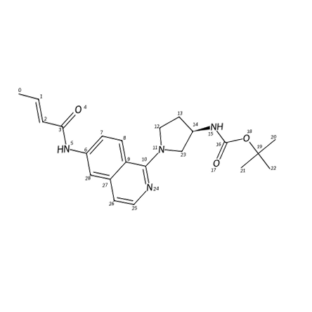 C/C=C/C(=O)Nc1ccc2c(N3CC[C@@H](NC(=O)OC(C)(C)C)C3)nccc2c1